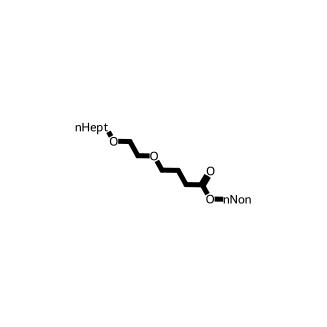 CCCCCCCCCOC(=O)CCCOCCOCCCCCCC